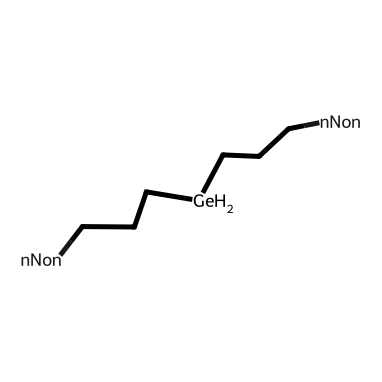 CCCCCCCCCCC[CH2][GeH2][CH2]CCCCCCCCCCC